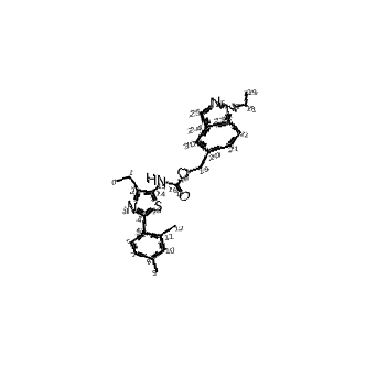 CCc1nc(-c2ccc(C)cc2C)sc1NC(=O)OCc1ccc2c(cnn2CC)c1